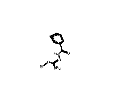 CCCCC(=NNC(=O)c1ccccc1)OCC